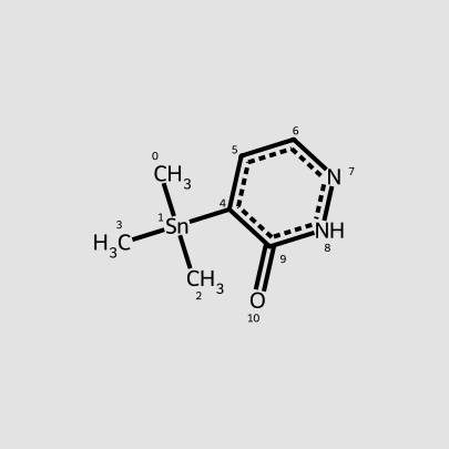 [CH3][Sn]([CH3])([CH3])[c]1ccn[nH]c1=O